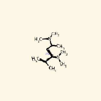 C=C(C)/C(=C/C(C)N(C)C)N(C)C